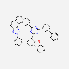 c1ccc(-c2cccc(-c3nc(-c4ccc5ccc6ccc7nn(-c8ccccc8)nc7c6c5c4)nc(-c4cccc5c4oc4ccccc45)n3)c2)cc1